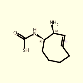 N[C@H]1/C=C/CCCC[C@H]1NC(=O)S